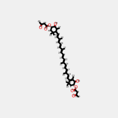 CC(=O)CC(=O)O[C@H]1CC(C)(C)C(/C=C/C(C)=C/C=C/C(C)=C/C=C/C=C(C)/C=C/C=C(C)/C=C/C2C(C)C(=O)[C@@H](OC(=O)CC(C)=O)CC2(C)C)=C(C)C1=O